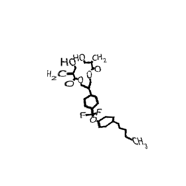 C=C(CO)C(=O)OCC(COC(=O)C(=C)CO)C1CCC(C(F)(F)OC2CCC(CCCCC)CC2)CC1